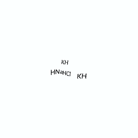 Cl.[KH].[KH].[NaH]